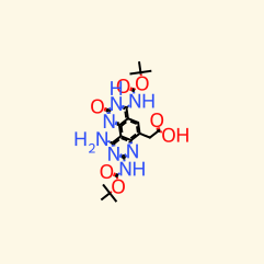 CC(C)(C)OC(=O)Nc1nc(N)c2c(n1)c(CC(=O)O)cc1c(NC(=O)OC(C)(C)C)[nH]c(=O)nc12